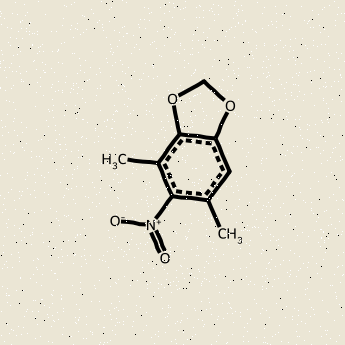 Cc1cc2c(c(C)c1[N+](=O)[O-])OCO2